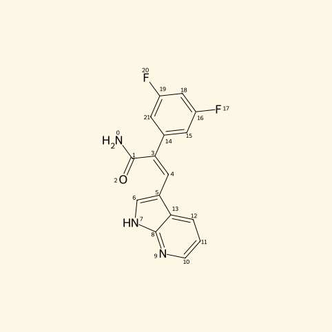 NC(=O)C(=Cc1c[nH]c2ncccc12)c1cc(F)cc(F)c1